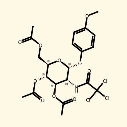 COc1ccc(O[C@H]2O[C@H](COC(C)=O)[C@@H](OC(C)=O)[C@H](OC(C)=O)[C@H]2NC(=O)C(Cl)(Cl)Cl)cc1